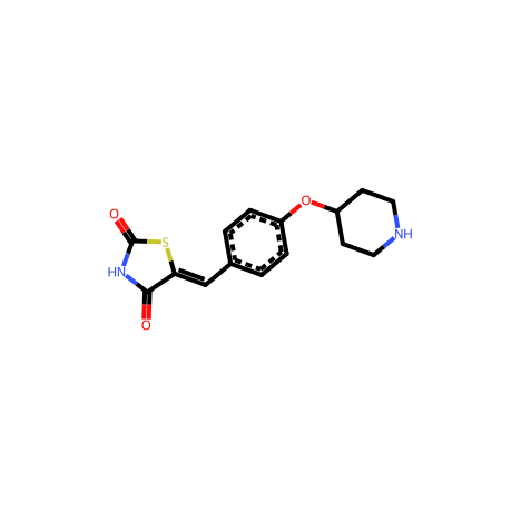 O=C1NC(=O)C(=Cc2ccc(OC3CCNCC3)cc2)S1